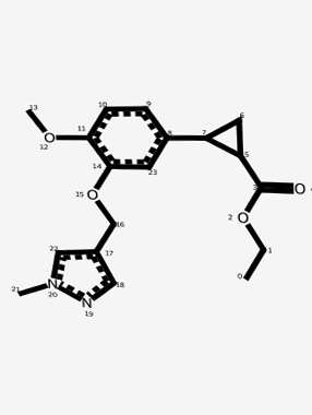 CCOC(=O)C1CC1c1ccc(OC)c(OCc2cnn(C)c2)c1